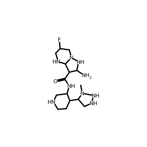 CN1NNCC1C1CCNCC1NC(=O)C1C(N)NN2CC(F)CNC12